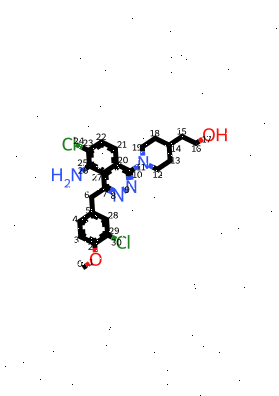 COc1ccc(Cc2nnc(N3CCC(CCO)CC3)c3ccc(Cl)c(N)c23)cc1Cl